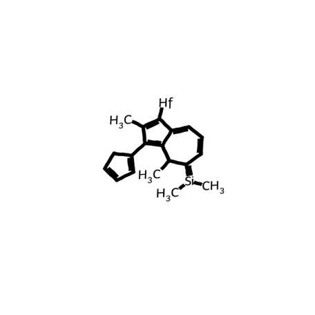 CC1=[C]([Hf])C2=CC=CC(=[Si](C)C)C(C)C2=C1C1=CC=CC1